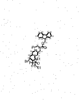 CCOP(=O)(OCC)C(F)(F)c1cc2cc(CN(CC(C)C)C(=O)OCC3c4ccccc4-c4ccccc43)ncc2cc1Br